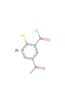 CC(=O)c1ccc(S)c(C(=O)Cl)c1.[Zn]